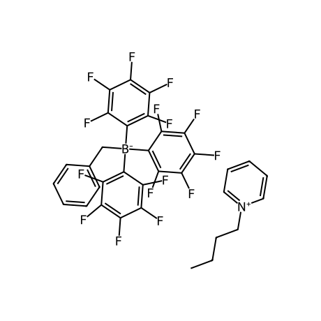 CCCC[n+]1ccccc1.Fc1c(F)c(F)c([B-](Cc2ccccc2)(c2c(F)c(F)c(F)c(F)c2F)c2c(F)c(F)c(F)c(F)c2F)c(F)c1F